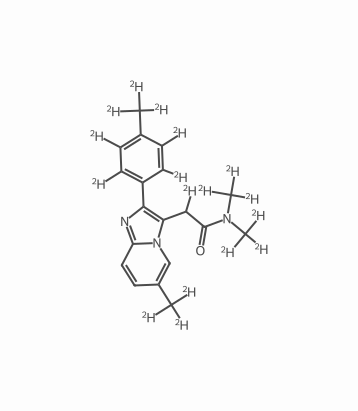 [2H]c1c([2H])c(C([2H])([2H])[2H])c([2H])c([2H])c1-c1nc2ccc(C([2H])([2H])[2H])cn2c1C([2H])C(=O)N(C([2H])([2H])[2H])C([2H])([2H])[2H]